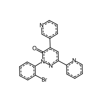 O=c1c(-c2cccnc2)cc(-c2ccccn2)nn1-c1ccccc1Br